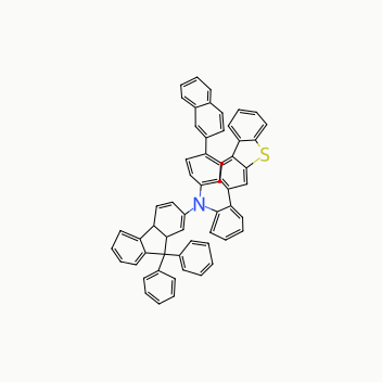 C1=CC2c3ccccc3C(c3ccccc3)(c3ccccc3)C2C=C1N(c1ccc(-c2ccc3ccccc3c2)cc1)c1ccccc1-c1ccc2c(c1)sc1ccccc12